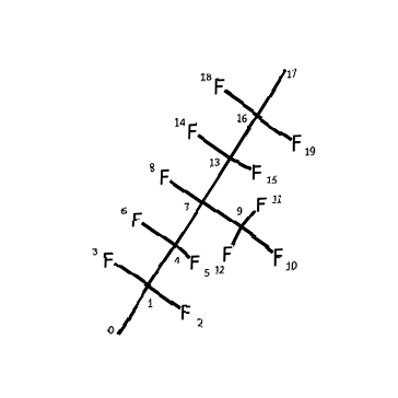 CC(F)(F)C(F)(F)C(F)(C(F)(F)F)C(F)(F)C(C)(F)F